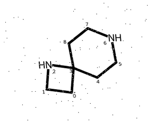 [CH]1CNC12CCNCC2